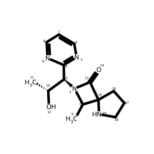 CC1N([C@H](c2ncccn2)[C@@H](C)O)C(=O)C12CCCN2